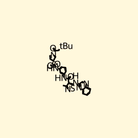 Cc1nsc(Nc2cnc3ccccc3n2)c1C(=O)Nc1cccc(NS(=O)(=O)C2CCN(C(=O)CC(C)(C)C)C2)c1